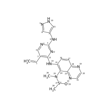 C=Cc1cnc(Nc2cn[nH]c2)nc1Nc1ccc2nccnc2c1N(C)[S+](C)[O-]